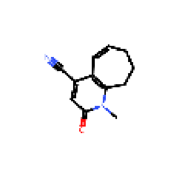 Cn1c2c(c(C#N)cc1=O)C=CCCC2